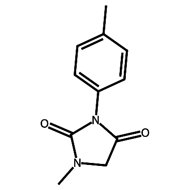 Cc1ccc(N2C(=O)CN(C)C2=O)cc1